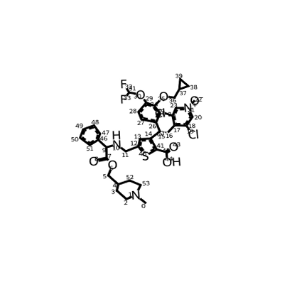 CN1CCC(COC(=O)C(NCc2cc([C@@H](Cc3c(Cl)c[n+]([O-])cc3Cl)c3ccc(OC(F)F)c(OCC4CC4)c3)c(C(=O)O)s2)c2ccccc2)CC1